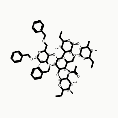 CCC1O[C@H](OCC2O[C@@H](O[C@@H]3C(COCc4ccccc4)O[C@@H](OCc4ccccc4)[C@@H](C)C3C)[C@H](OCc3ccccc3)C(O[C@@H]3OC(CC)[C@H](C)[C@@H](C)C3OC(C)=O)[C@@H]2C)[C@H](O[C@@H]2OC(CC)[C@@H](C)C(C)[C@@H]2C)C(C)[C@@H]1C